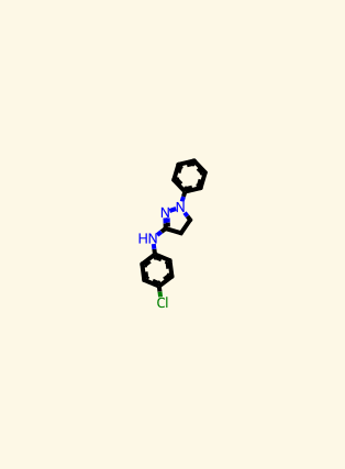 Clc1ccc(NC2=NN(c3ccccc3)CC2)cc1